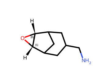 NCC1CC2CC(C1)[C@@H]1O[C@H]21